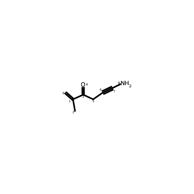 C=C(C)C(=O)CC#CN